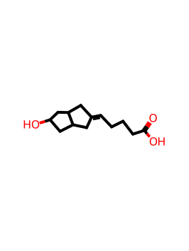 O=C(O)CCCC=C1CC2CC(O)CC2C1